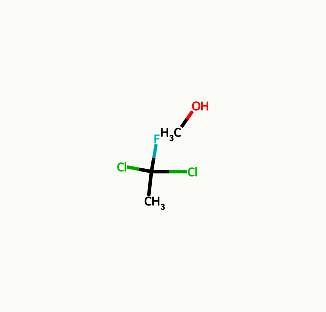 CC(F)(Cl)Cl.CO